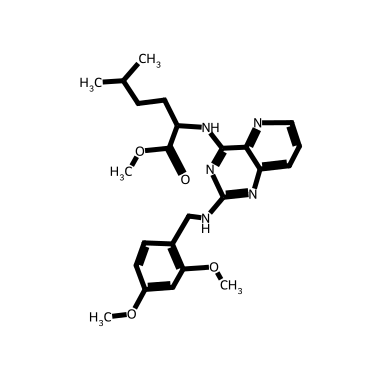 COC(=O)C(CCC(C)C)Nc1nc(NCc2ccc(OC)cc2OC)nc2cccnc12